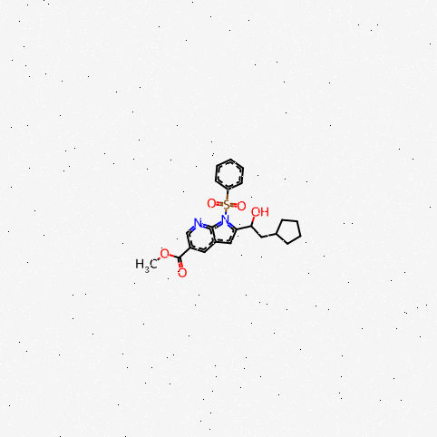 COC(=O)c1cnc2c(c1)cc(C(O)CC1CCCC1)n2S(=O)(=O)c1ccccc1